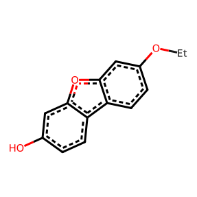 CCOc1ccc2c(c1)oc1cc(O)ccc12